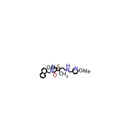 COc1ccc(CNCCc2sc3ncn(Cc4c(OC)ccc5ccccc45)c(=O)c3c2C)cn1